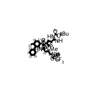 CSc1sc(C(=N)NC(=O)OC(C)(C)C)cc1S(=O)(=O)c1ccc(C)c(-c2ccccc2)c1NC(=O)CCCNS(=O)(=O)C(F)(F)F